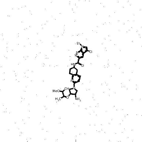 CCn1cc(Cl)c2cc(C(=O)NC3CCc4nc(N5CC(N)C(OC(C)C(C)OC)C5)ccc4C3)nnc21